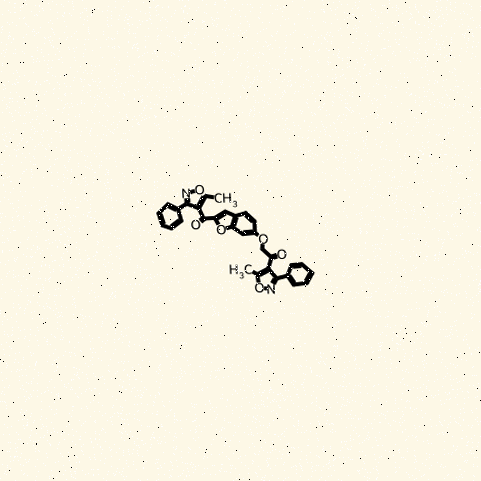 Cc1onc(-c2ccccc2)c1C(=O)COc1ccc2cc(C(=O)c3c(-c4ccccc4)noc3C)oc2c1